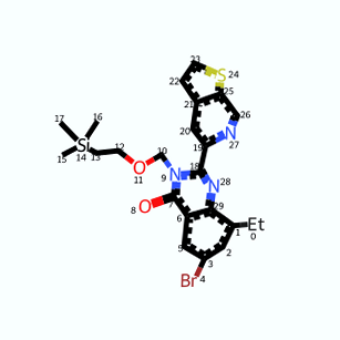 CCc1cc(Br)cc2c(=O)n(COCC[Si](C)(C)C)c(-c3cc4ccsc4cn3)nc12